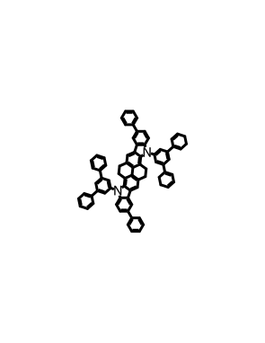 C1=CCCC(c2cc(C3=CCCC=C3)cc(-n3c4ccc(-c5ccccc5)cc4c4cc5c6c(c43)CCc3cc4c7cc(-c8ccccc8)ccc7n(-c7cc(-c8ccccc8)cc(-c8ccccc8)c7)c4c(c3-6)CC5)c2)=C1